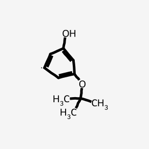 CC(C)(C)Oc1c[c]cc(O)c1